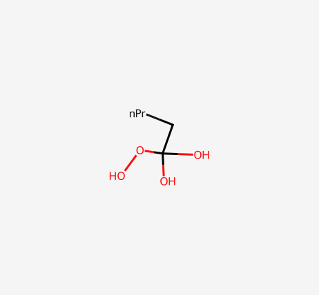 CCCCC(O)(O)OO